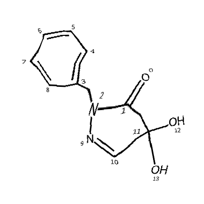 O=C1N(c2ccccc2)N=CC1(O)O